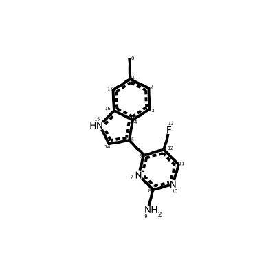 Cc1ccc2c(-c3nc(N)ncc3F)c[nH]c2c1